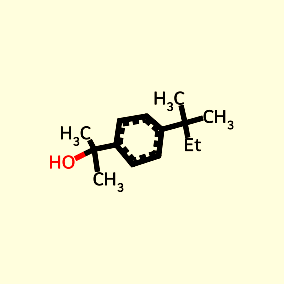 CCC(C)(C)c1ccc(C(C)(C)O)cc1